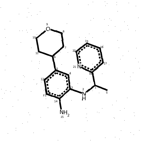 CC(Nc1cc(C2CCOCC2)ccc1N)c1ccccn1